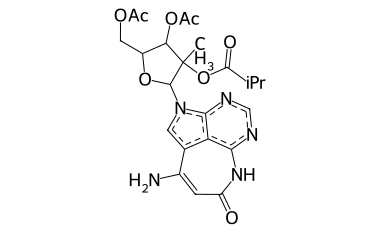 CC(=O)OCC1OC(n2cc3c4c(ncnc42)NC(=O)C=C3N)C(C)(OC(=O)C(C)C)C1OC(C)=O